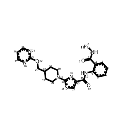 CCCNC(=O)c1ccccc1NC(=O)c1csc(N2CCC(COc3ncccn3)CC2)n1